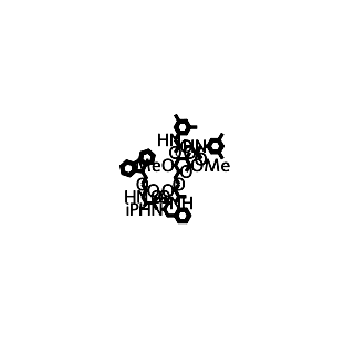 CO[C@@H]1OC(COC(=O)C(C)NC(=O)C(Cc2ccccc2)NC(=O)C(NC(=O)OCC2c3ccccc3-c3ccccc32)C(C)C)[C@@H](OC)[C@H](OC(=O)Nc2cc(C)cc(C)c2)C1OC(=O)Nc1cc(C)cc(C)c1